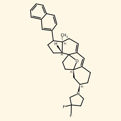 C[C@]12CC=C3C=C4CC[C@@H](N5CCC(F)(F)C5)C[C@]45CCC3(O5)[C@@H]1CCC2c1ccc2ccccc2c1